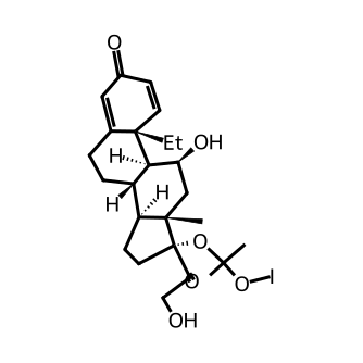 CC[C@]12C=CC(=O)C=C1CC[C@@H]1[C@@H]2[C@@H](O)C[C@@]2(C)[C@H]1CC[C@]2(OC(C)(C)OI)C(=O)CO